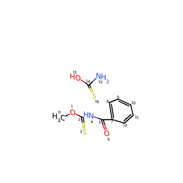 COC(=S)NC(=O)c1ccccc1.NC(O)=S